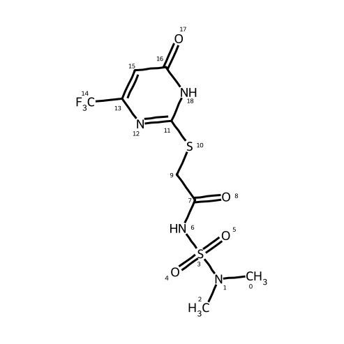 CN(C)S(=O)(=O)NC(=O)CSc1nc(C(F)(F)F)cc(=O)[nH]1